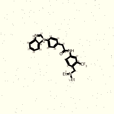 CCN(CC)Cc1ccc(NC(=O)Cc2ccc(-n3cnc4ccccc43)cc2)cc1C(F)(F)F